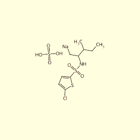 CCC(C)C([CH2][Na])NS(=O)(=O)c1ccc(Cl)s1.O=S(=O)(O)O